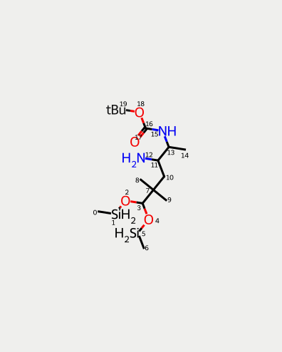 C[SiH2]OC(O[SiH2]C)C(C)(C)CC(N)C(C)NC(=O)OC(C)(C)C